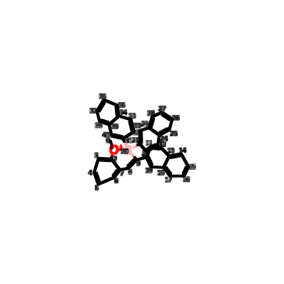 C[O+]1c2ccccc2C=C(c2ccc3ccccc3c2)[B-]1(c1ccc2ccccc2c1)c1ccc2ccccc2c1